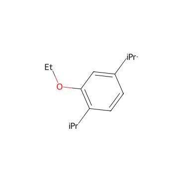 CCOc1cc([C](C)C)ccc1C(C)C